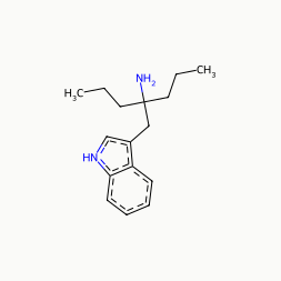 CCCC(N)(CCC)Cc1c[nH]c2ccccc12